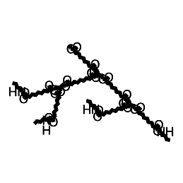 CCCCNOC(=O)CCCCCCCC(=O)OCC(COC(=O)CCCCCCCC(=O)OCC(COC(=O)CCCCCCCC(=O)OC)OC(=O)CCCCCCCC(=O)OCC(COC(=O)CCCCCCCC(=O)ONCCCC)OC(=O)CCCCCCCC(=O)ONCCCC)OC(=O)CCCCCCCC(=O)ONCCCC